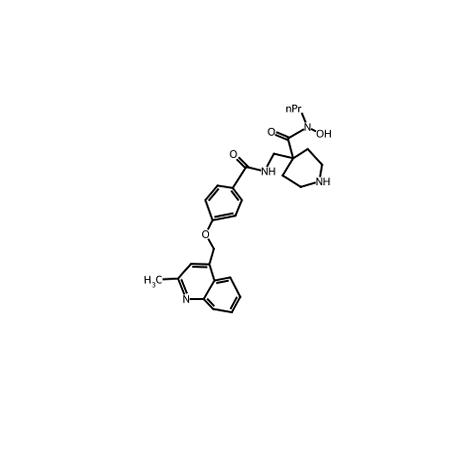 CCCN(O)C(=O)C1(CNC(=O)c2ccc(OCc3cc(C)nc4ccccc34)cc2)CCNCC1